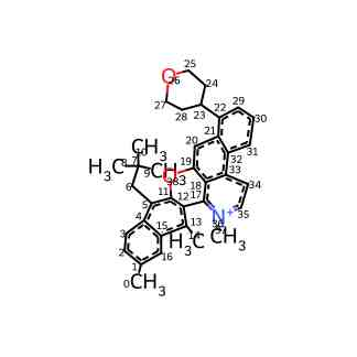 Cc1ccc2c(CC(C)(C)C)c3c(c(C)c2c1)-c1c2c(cc4c(C5CCOCC5)cccc4c2cc[n+]1C)O3